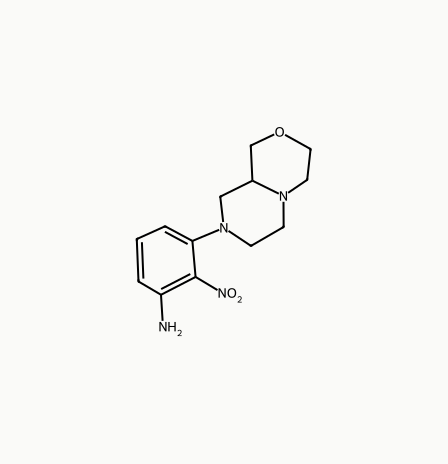 Nc1cccc(N2CCN3CCOCC3C2)c1[N+](=O)[O-]